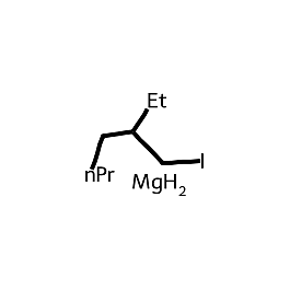 CCCCC(CC)CI.[MgH2]